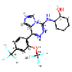 O[C@H]1CCCCC1Nc1nnc(-c2ccc(C(F)(F)F)cc2OC(F)(F)F)c2cncn12